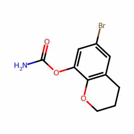 NC(=O)Oc1cc(Br)cc2c1OCCC2